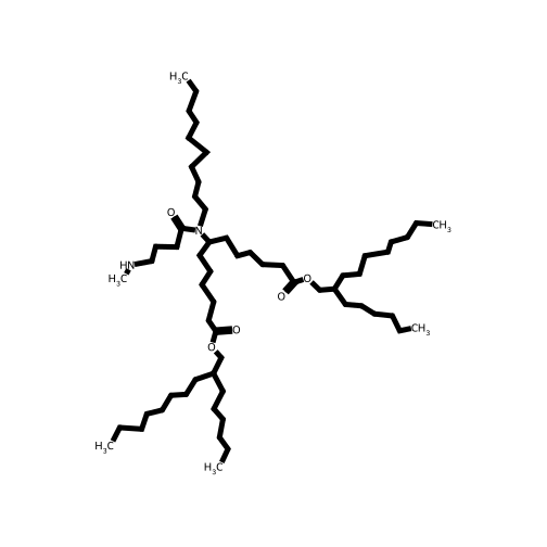 CCCCCCCCCCN(C(=O)CCCNC)C(CCCCCC(=O)OCC(CCCCCC)CCCCCCCC)CCCCCC(=O)OCC(CCCCCC)CCCCCCCC